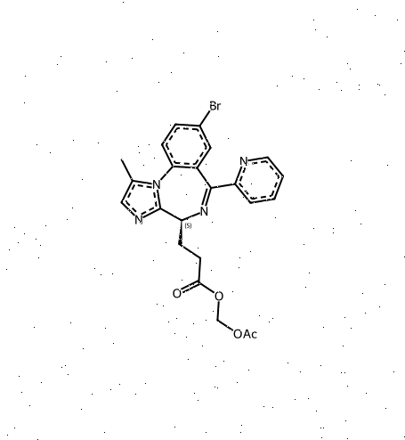 CC(=O)OCOC(=O)CC[C@@H]1N=C(c2ccccn2)c2cc(Br)ccc2-n2c(C)cnc21